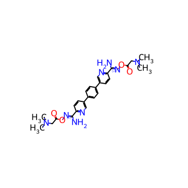 CN(C)CC(=O)O/N=C(\N)c1ccc(-c2ccc(-c3ccc(/C(N)=N/OC(=O)CN(C)C)nc3)cc2)cn1